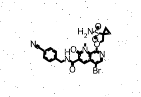 Cn1c(=O)c(C(=O)NCc2ccc(C#N)cc2)cc2c(Br)cnc(OCC3(S(N)(=O)=O)CC3)c21